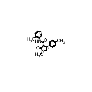 Cc1ccc([C@H]2CN(C)C(=O)[C@@H]2C(=O)Nc2cnccc2C)cc1